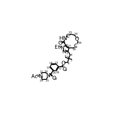 CCn1nc(CC(C)(C)COC(=O)c2cccc(C(=O)N3CCN(C(C)=O)CC3)c2)c2c1C(=O)NCCCOCCC2